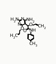 C=CCOc1nc(N)nc(N)c1C(OCC=C)C(=O)Nc1ccc(C)cc1